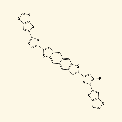 Fc1cc(-c2cc3cc4cc5sc(-c6cc(F)c(-c7cc8scnc8s7)s6)cc5cc4cc3s2)sc1-c1cc2scnc2s1